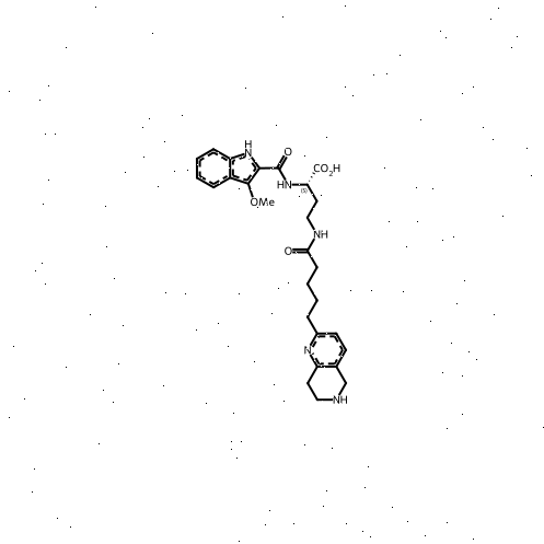 COc1c(C(=O)N[C@@H](CCNC(=O)CCCCc2ccc3c(n2)CCNC3)C(=O)O)[nH]c2ccccc12